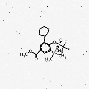 COC(=O)c1cc(C2CCCCC2)c(OS(=O)(=O)C(F)(F)F)c([Si](C)(C)C)c1